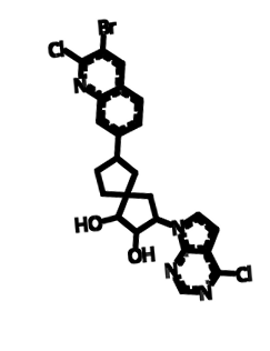 OC1C(n2ccc3c(Cl)ncnc32)CC2(CCC(c3ccc4cc(Br)c(Cl)nc4c3)C2)C1O